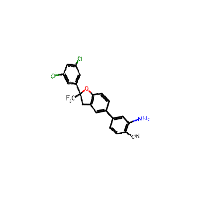 N#Cc1ccc(-c2ccc3c(c2)CC(c2cc(Cl)cc(Cl)c2)(C(F)(F)F)O3)cc1N